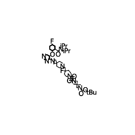 CC(C)N(C(=O)c1cc(F)ccc1Oc1cncnc1N1CC2(CCN(CC3(F)CCN(S(=O)(=O)N4CC5(CN(C(=O)OC(C)(C)C)C5)C4)CC3)CC2)C1)C(C)C